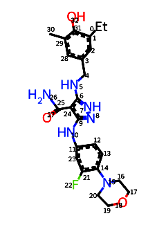 CCc1cc(CNc2[nH]nc(Nc3ccc(N4CCOCC4)c(F)c3)c2C(N)=O)cc(C)c1O